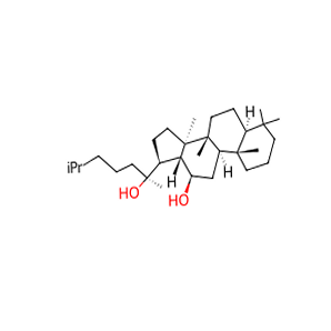 CC(C)CCC[C@](C)(O)[C@H]1CC[C@]2(C)[C@@H]1[C@H](O)C[C@@H]1[C@@]3(C)CCCC(C)(C)[C@@H]3CC[C@]12C